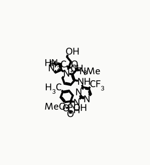 CNC(=O)C1=C(Nc2nc(NC3(P(=O)([O-])O)CC=C(C)C=C3OC)ncc2C(F)(F)F)C=CC[N+]1(c1cn[nH]c1)C(C)(C)CCO